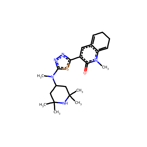 CN(c1nnc(-c2cc3c(n(C)c2=O)=CCCC=3)s1)C1CC(C)(C)NC(C)(C)C1